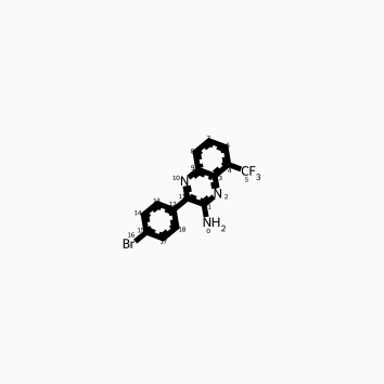 Nc1nc2c(C(F)(F)F)cccc2nc1-c1ccc(Br)cc1